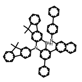 CC1(C)c2ccccc2-c2ccc(N3c4cc5c(cc4Bc4c(-c6cc7ccccc7cc6Nc6ccc(-c7ccccc7)cc6)cc(-c6ccccc6)cc43)-c3ccccc3C5(C)C)cc21